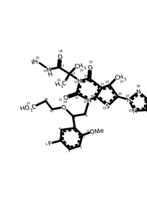 COc1ccc(F)cc1C(Cn1c(=O)n(C(C)(C)C(=O)NC(C)C)c(=O)c2c(C)c(-n3nccn3)sc21)OCCC(=O)O